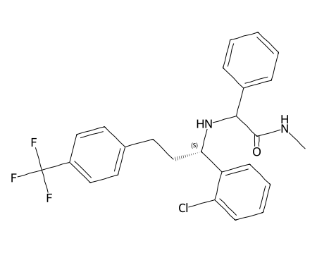 CNC(=O)C(N[C@@H](CCc1ccc(C(F)(F)F)cc1)c1ccccc1Cl)c1ccccc1